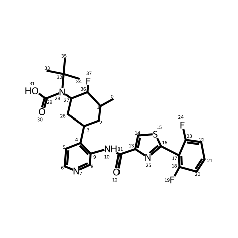 CC1CC(c2ccncc2NC(=O)c2csc(-c3c(F)cccc3F)n2)CC(N(C(=O)O)C(C)(C)C)C1F